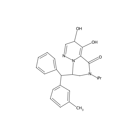 Cc1cccc(C(c2ccccc2)C2CN(C(C)C)C(=O)C3=C(O)C(O)C=NN32)c1